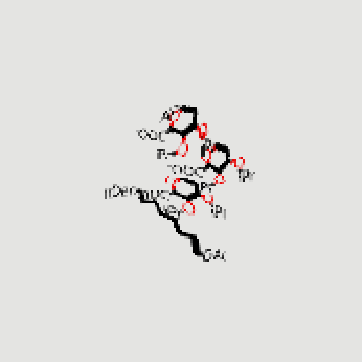 CC(C)OC1=C(OC(C)C)C(C(=O)[O-])OC=C1.CC(C)OC1=C(OC(C)C)C(C(=O)[O-])OC=C1.CC(C)OC1=C(OC(C)C)C(C(=O)[O-])OC=C1.CCCCCCCCCCCCCCCCC=COC(C)=O.[Al+3]